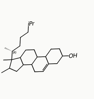 CC(C)CCC[C@@H](C)C1(C)C(C)CC2C3CC=C4CC(O)CCC4C3CCC21